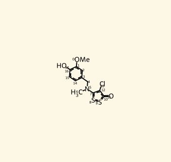 COc1cc(CN(C)c2ssc(=O)c2Cl)ccc1O